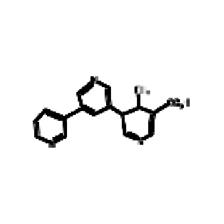 CC1C(C(=O)O)=CN=CC1c1cncc(-c2cccnc2)c1